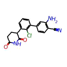 N#Cc1ccc(-c2cccc(C3CCC(=O)NC3=O)c2Cl)cc1N